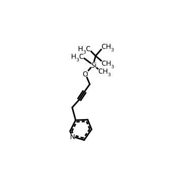 CC(C)(C)[Si](C)(C)OCC#CCc1cccnc1